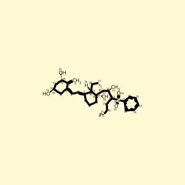 C=C1C(=CC=C2CCC[C@]3(C)[C@@H]([C@H](C)C(CCC(C)C)S(=O)(=O)c4ccccc4)CC[C@@H]23)C[C@@H](O)C[C@@H]1O